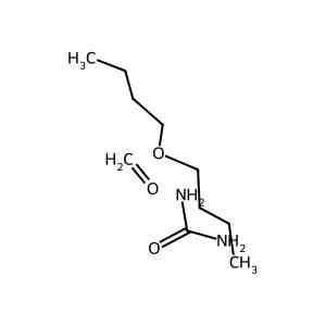 C=O.CCCCOCCCC.NC(N)=O